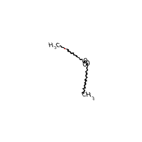 CCCCC/C=C/C/C=C/C/C=C/CCCCC(=O)OC(=O)CCCC/C=C/C/C=C/C/C=C/CCCCC